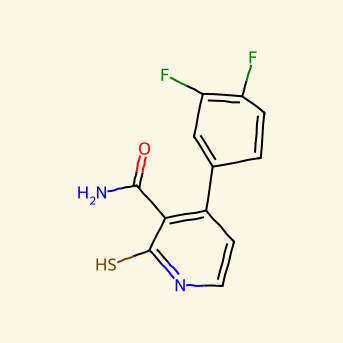 NC(=O)c1c(-c2ccc(F)c(F)c2)ccnc1S